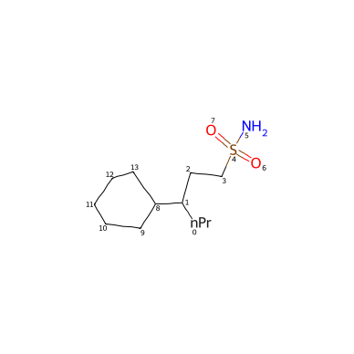 CCCC(CCS(N)(=O)=O)C1CCCCC1